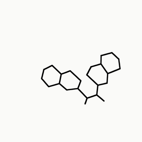 CC(C1CCC2CCCCC2C1)C(C)C1CCC2CCCCC2C1